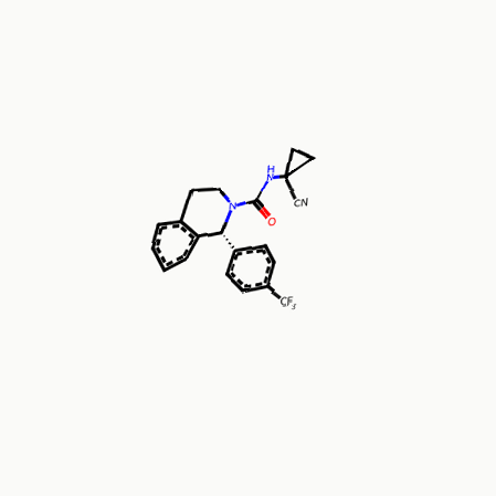 N#CC1(NC(=O)N2CCc3ccccc3[C@H]2c2ccc(C(F)(F)F)cc2)CC1